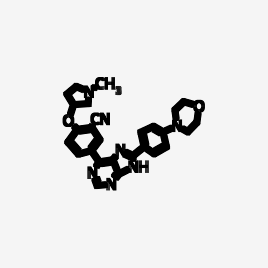 CN1CCC(Oc2ccc(-c3ncnc4[nH]c(-c5ccc(N6CCOCC6)cc5)nc34)cc2C#N)C1